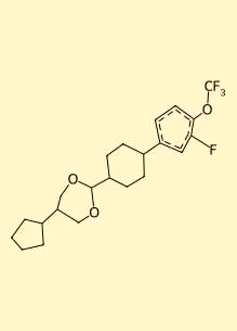 Fc1cc(C2CCC(C3OCC(C4CCCC4)CO3)CC2)ccc1OC(F)(F)F